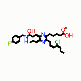 CC/C=C(Cl)\C=C/Cc1nc(=C/CC)/c(=C\CC(O)NCC2=CCC(F)C=C2)nc1CCCCC(O)OC